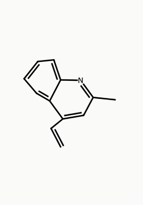 C=Cc1cc(C)nc2ccccc12